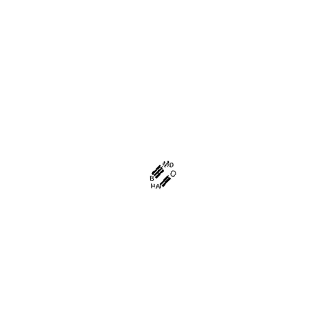 [B]#[Mo].[O]=[AlH]